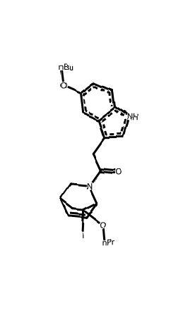 CCCCOc1ccc2[nH]cc(CC(=O)N3CC4C=CC3C(I)(OCCC)C4)c2c1